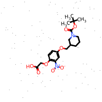 CC(C)(C)OC(=O)N1CCCC(COc2ccc(OCC(=O)O)c([N+](=O)[O-])c2)C1